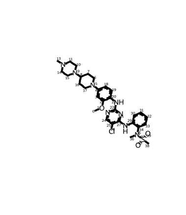 COc1cc(N2CCC(N3CCN(C)CC3)CC2)ccc1Nc1ncc(Cl)c(Nc2ccccc2N(C)S(C)(=O)=O)n1